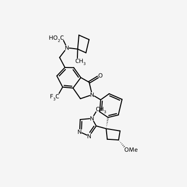 CO[C@H]1C[C@](c2cccc(N3Cc4c(cc(CN(C(=O)O)C5(C)CCC5)cc4C(F)(F)F)C3=O)c2)(c2nncn2C)C1